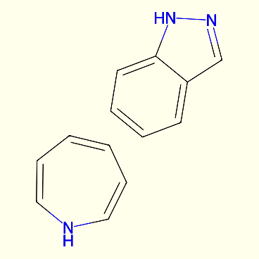 C1=CC=CNC=C1.c1ccc2[nH]ncc2c1